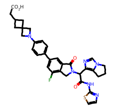 O=C(O)CC1CC2(C1)CN(c1ccc(-c3cc(F)c4c(c3)C(=O)N(C(C(=O)Nc3nccs3)c3ncn5c3CCC5)C4)cc1)C2